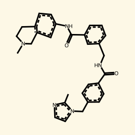 Cc1nccn1Cc1ccc(C(=O)NCc2cccc(C(=O)Nc3ccc4c(c3)CN(C)CC4)c2)cc1